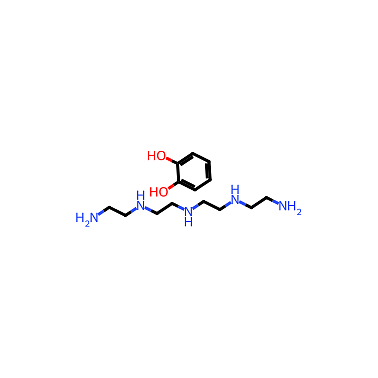 NCCNCCNCCNCCN.Oc1ccccc1O